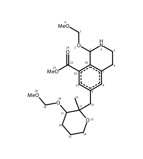 COCOC1NCCc2cc(CC3(C)OCCCC3OCOC)cc(C(=O)OC)c21